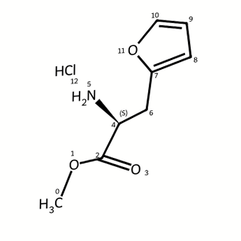 COC(=O)[C@@H](N)Cc1ccco1.Cl